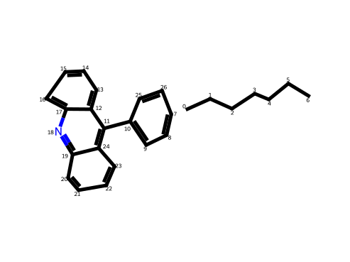 CCCCCCC.c1ccc(-c2c3ccccc3nc3ccccc23)cc1